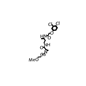 C=C(CCNC(=O)C1CN1SOCCOC)NC(=O)COc1ccc(Cl)c(Cl)c1